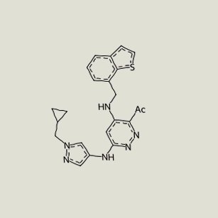 CC(=O)c1nnc(Nc2cnn(CC3CC3)c2)cc1NCc1cccc2ccsc12